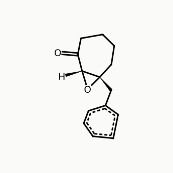 O=C1CCCC[C@]2(Cc3ccccc3)O[C@H]12